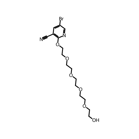 N#Cc1cc(Br)cnc1OCCOCCOCCOCCOCCO